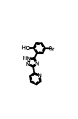 Oc1ccc(Br)cc1-c1nc(-c2ccccn2)n[nH]1